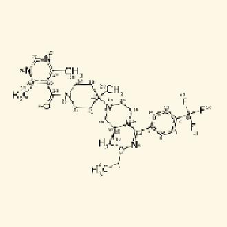 CCON=C(c1ccc(C(F)(F)F)cc1)N1CCN(C2(C)CCN(C(=O)c3c(C)ncnc3C)CC2)C[C@@H]1C